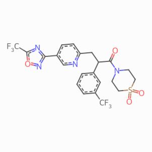 O=C(C(Cc1ccc(-c2noc(C(F)(F)F)n2)cn1)c1cccc(C(F)(F)F)c1)N1CCS(=O)(=O)CC1